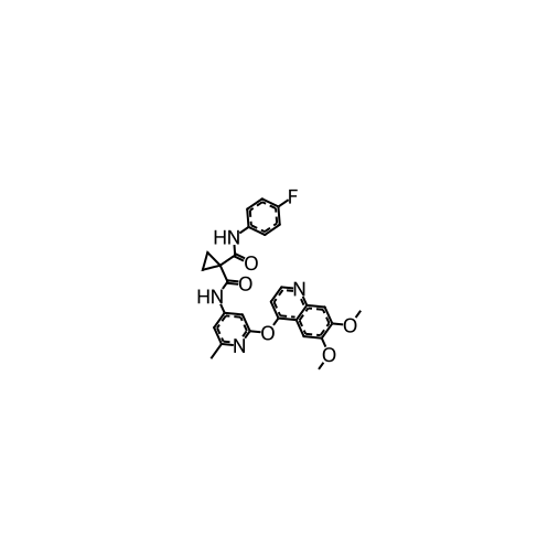 COc1cc2nccc(Oc3cc(NC(=O)C4(C(=O)Nc5ccc(F)cc5)CC4)cc(C)n3)c2cc1OC